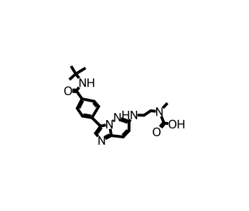 CN(CCNc1ccc2ncc(-c3ccc(C(=O)NC(C)(C)C)cc3)n2n1)C(=O)O